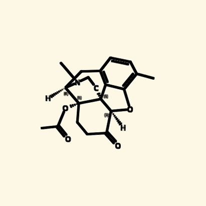 CC(=O)O[C@@]12CCC(=O)[C@@H]3Oc4c(C)ccc5c4[C@@]31CCN(C)[C@@H]2C5